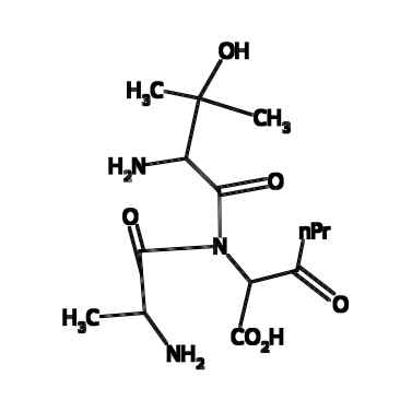 CCCC(=O)C(C(=O)O)N(C(=O)C(C)N)C(=O)C(N)C(C)(C)O